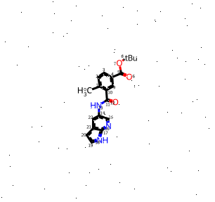 Cc1ccc(C(=O)OC(C)(C)C)cc1C(=O)Nc1cnc2[nH]ccc2c1